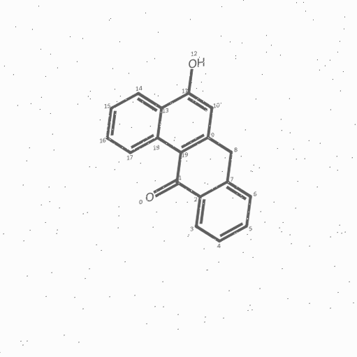 O=C1c2ccccc2Cc2cc(O)c3ccccc3c21